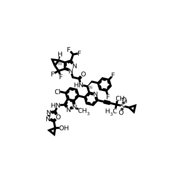 Cn1nc(Nc2nnc(C3(O)CC3)o2)c2c(Cl)ccc(-c3ccc(C#CC(C)(C)S(=O)(=O)C4CC4)nc3[C@H](Cc3cc(F)cc(F)c3)NC(=O)Cn3nc(C(F)F)c4c3C(F)(F)C3C[C@H]43)c21